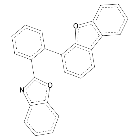 c1ccc(-c2cccc3c2oc2ccccc23)c(-c2nc3ccccc3o2)c1